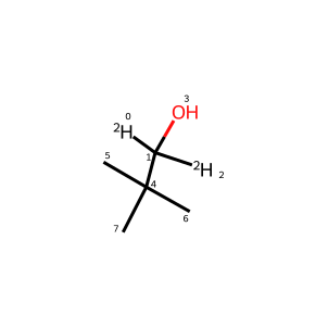 [2H]C([2H])(O)C(C)(C)C